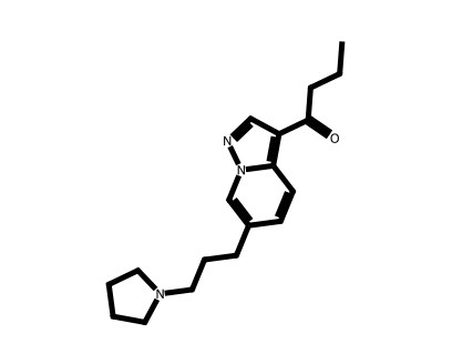 CCCC(=O)c1cnn2cc(CCCN3CCCC3)ccc12